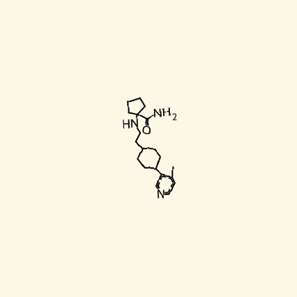 Cc1ccncc1C1CCC(CCNC2(C(N)=O)CCCC2)CC1